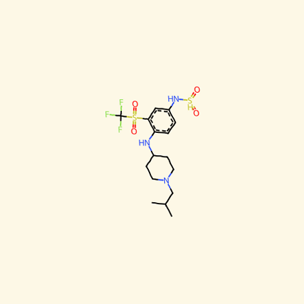 C[C](C)CN1CCC(Nc2ccc(N[SH](=O)=O)cc2S(=O)(=O)C(F)(F)F)CC1